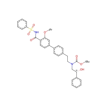 CC(C)Oc1cc(-c2ccc(CCN(C[C@H](O)c3ccccc3)C(=O)OC(C)(C)C)cc2)ccc1C(=O)NS(=O)(=O)c1ccccc1